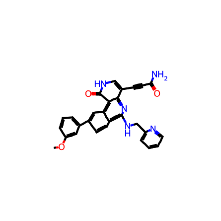 COc1cccc(-c2ccc3c(NCc4ccccn4)nc4c(C#CC(N)=O)c[nH]c(=O)c4c3c2)c1